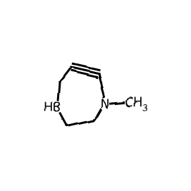 CN1C#CCBCC1